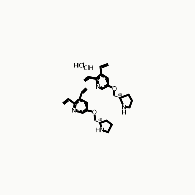 C=Cc1cc(OC[C@@H]2CCCN2)cnc1C=C.C=Cc1cc(OC[C@@H]2CCCN2)cnc1C=C.Cl.Cl